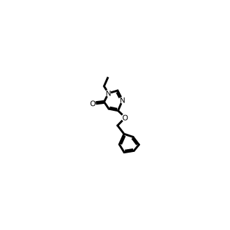 CCn1cnc(OCc2ccccc2)cc1=O